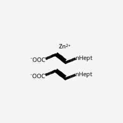 CCCCCCCC=CC(=O)[O-].CCCCCCCC=CC(=O)[O-].[Zn+2]